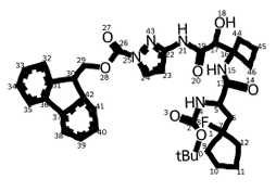 CC(C)(C)OC(=O)NC(CC1(F)CCCC1)C(=O)NC1(C(O)C(=O)Nc2ccn(C(=O)OCC3c4ccccc4-c4ccccc43)n2)CCC1